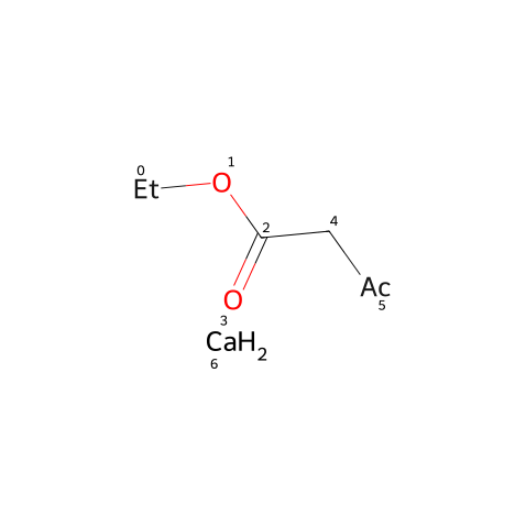 CCOC(=O)CC(C)=O.[CaH2]